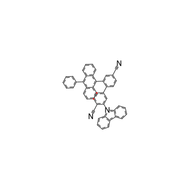 N#Cc1ccc(-c2ccc(C#N)c(-n3c4ccccc4c4ccccc43)c2)c(-c2c3ccccc3c(-c3ccccc3)c3ccccc23)c1